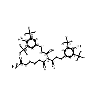 CC(C)(C)c1cc(CCC(=O)N(C(=O)CCCCC(N)=O)C(=O)CCc2cc(C(C)(C)C)c(O)c(C(C)(C)C)c2)cc(C(C)(C)C)c1O